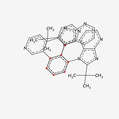 CC(C)(C)c1nc2ncccc2n1-c1ccccc1-c1cnccc1-c1ccncc1-c1ccccc1-n1c(C(C)(C)C)nc2ncccc21